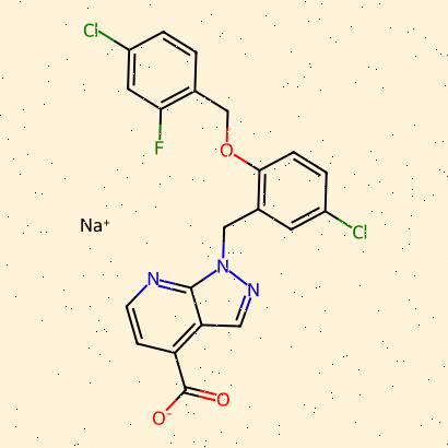 O=C([O-])c1ccnc2c1cnn2Cc1cc(Cl)ccc1OCc1ccc(Cl)cc1F.[Na+]